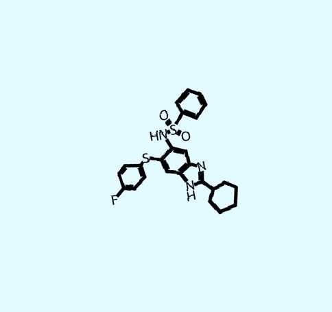 O=S(=O)(Nc1cc2nc(C3CCCCC3)[nH]c2cc1Sc1ccc(F)cc1)c1ccccc1